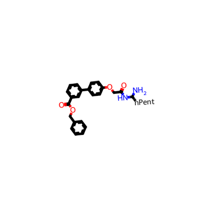 CCCCCC(N)NC(=O)COc1ccc(-c2cccc(C(=O)OCc3ccccc3)c2)cc1